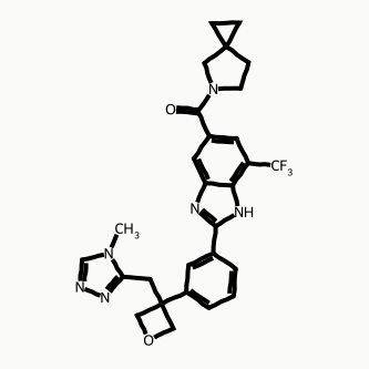 Cn1cnnc1CC1(c2cccc(-c3nc4cc(C(=O)N5CCC6(CC6)C5)cc(C(F)(F)F)c4[nH]3)c2)COC1